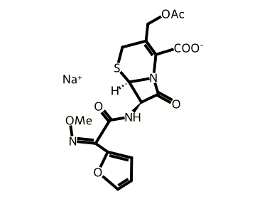 CO/N=C(\C(=O)N[C@@H]1C(=O)N2C(C(=O)[O-])=C(COC(C)=O)CS[C@H]12)c1ccco1.[Na+]